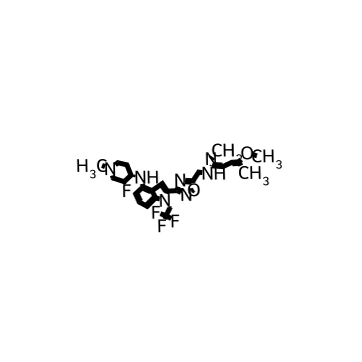 C=N/C(=C\C=C(/C)OC)NCc1nc(-c2cc3c(N[C@@H]4CCN(C)C[C@@H]4F)cccc3n2CC(F)(F)F)no1